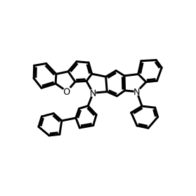 c1ccc(-c2cccc(-n3c4cc5c(cc4c4ccc6c7ccccc7oc6c43)c3ccccc3n5-c3ccccc3)c2)cc1